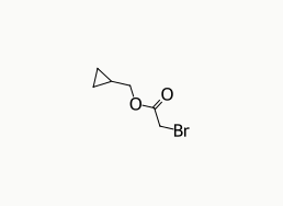 O=C(CBr)OCC1CC1